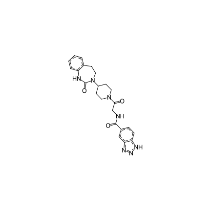 O=C(NCC(=O)N1CCC(N2CCc3ccccc3NC2=O)CC1)c1ccc2[nH]nnc2c1